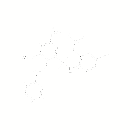 CCC(C)(Pc1ccc(F)cc1CN(C)C)c1cc(OC)cc(OC)c1OCc1ccccc1